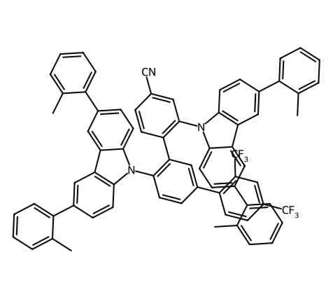 Cc1ccccc1-c1ccc2c(c1)c1cc(-c3ccccc3C)ccc1n2-c1ccc(-c2ccc(C(F)(F)F)cc2C(F)(F)F)cc1-c1ccc(C#N)cc1-n1c2ccc(-c3ccccc3C)cc2c2cc(-c3ccccc3C)ccc21